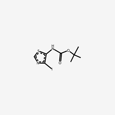 CC(C)(C)OC(=O)Nc1scnc1I